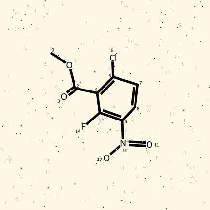 COC(=O)c1c(Cl)ccc([N+](=O)[O-])c1F